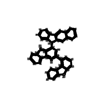 c1ccc2cc3c(cc2c1)c1ccccc1n3-c1nc(-c2cccc3oc4ccccc4c23)nc2c1sc1ccccc12